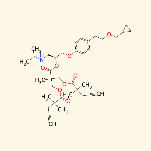 C#CCC(C)(C)C(=O)OCC(C)(COC(=O)C(C)(C)CC#C)C(=O)O[C@@H](CNC(C)C)COc1ccc(CCOCC2CC2)cc1